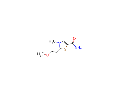 COCCC1SC(C(N)=O)=CN1C